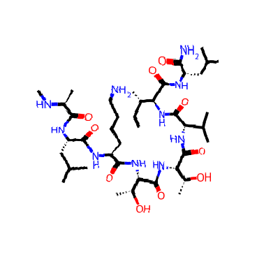 CC[C@H](C)[C@H](NC(=O)[C@@H](NC(=O)[C@@H](NC(=O)[C@@H](NC(=O)[C@H](CCCCN)NC(=O)[C@H](CC(C)C)NC(=O)[C@H](C)NC)[C@@H](C)O)[C@@H](C)O)C(C)C)C(=O)N[C@@H](CC(C)C)C(N)=O